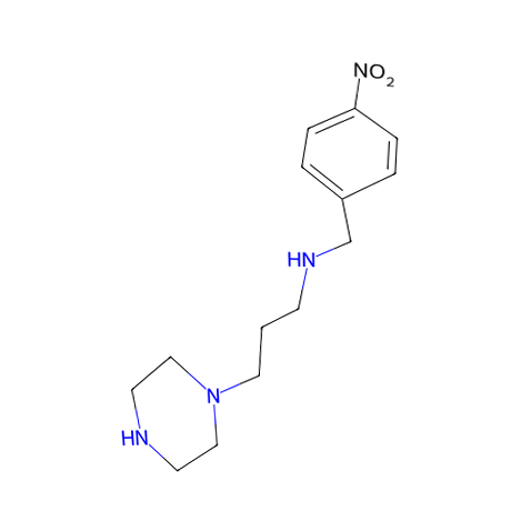 O=[N+]([O-])c1ccc(CNCCCN2CCNCC2)cc1